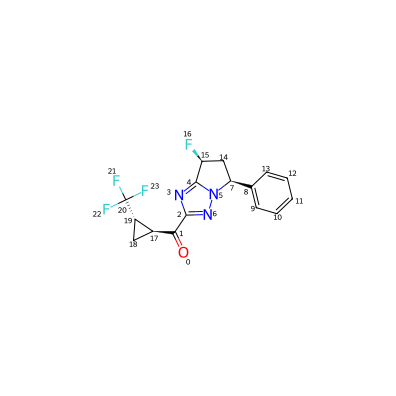 O=C(c1nc2n(n1)[C@H](c1ccccc1)C[C@@H]2F)[C@H]1C[C@@H]1C(F)(F)F